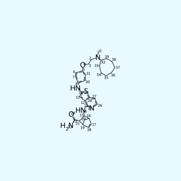 CN(CCOc1ccc(Nc2cc3c(NC4C5C=CC(C5)C4C(N)=O)nccc3s2)cc1)C1CCCCCCC1